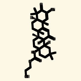 CC1(C)CC[C@]2(NC(=O)OCCO)CC[C@]3(C)[C@H](C(=O)C=C4[C@@]5(C)C=C(C#N)C(=O)C(C)(C)[C@@H]5CC[C@]43C)[C@@H]2C1